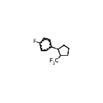 Fc1ccc(C2CCCC2C(F)(F)F)cc1